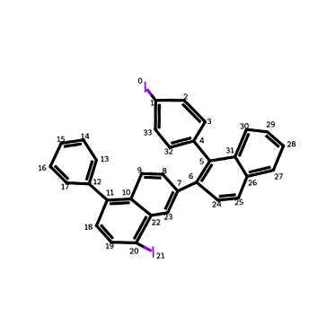 Ic1ccc(-c2c(-c3ccc4c(-c5ccccc5)ccc(I)c4c3)ccc3ccccc23)cc1